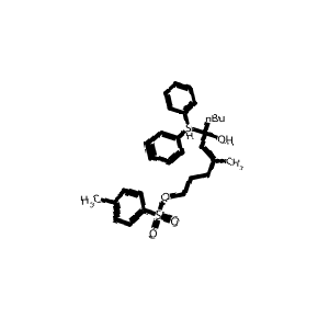 CCCCC(O)(C=C(C)CCCOS(=O)(=O)c1ccc(C)cc1)[SiH](c1ccccc1)c1ccccc1